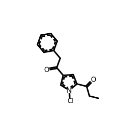 CCC(=O)c1cc(C(=O)Cc2ccccc2)cn1Cl